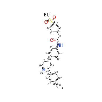 CCS(=O)(=O)c1ccc(CC(=O)Nc2ccc(C3CCN(C)C(c4ccc(C(F)(F)F)cc4)C3)cc2)cc1